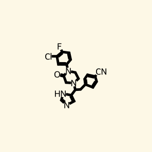 N#Cc1ccc(CC(c2cnc[nH]2)N2CCN(c3ccc(F)c(Cl)c3)C(=O)C2)cc1